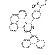 c1ccc2c(c1)cc(-c1nc(-c3ccc4c(c3)oc3ccccc34)nc(-c3cccc4ccc5ccccc5c34)n1)c1ccccc12